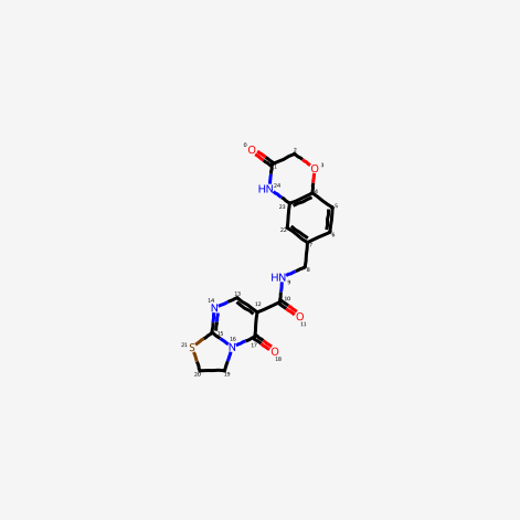 O=C1COc2ccc(CNC(=O)c3cnc4n(c3=O)CCS4)cc2N1